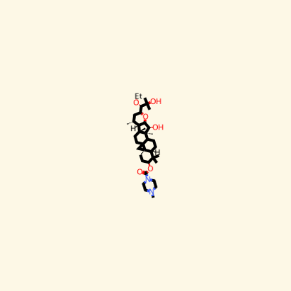 CCO[C@@H](C1C[C@@H](C)[C@H]2C(O1)[C@H](O)[C@@]1(C)C3CC[C@H]4C(C)(C)[C@@H](OC(=O)N5CCN(C)CC5)CC[C@@]45CC35CC[C@]21C)C(C)(C)O